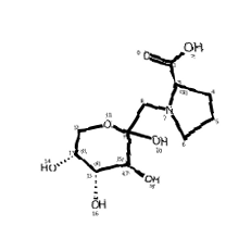 O=C(O)[C@H]1CCCN1CC1(O)OC[C@@H](O)[C@@H](O)[C@@H]1O